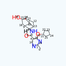 Cc1ncc(C(=O)N[C@H]2C3CC4CC2C[C@@](O)(C4)C3)c(OC2CCCC2)n1